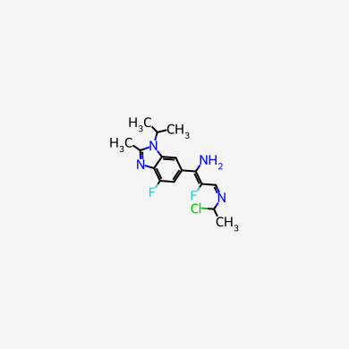 Cc1nc2c(F)cc(/C(N)=C(F)/C=N\C(C)Cl)cc2n1C(C)C